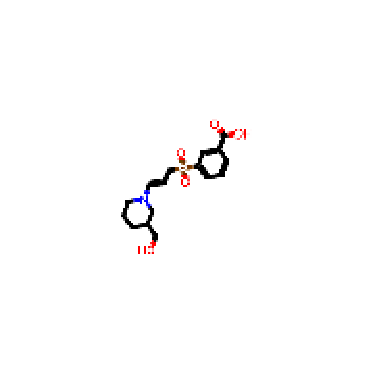 O=C(O)c1cccc(S(=O)(=O)CC=CN2CCCC(CO)C2)c1